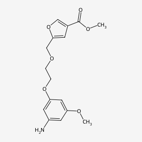 COC(=O)c1coc(COCCOc2cc(N)cc(OC)c2)c1